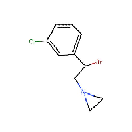 Clc1cccc(C(Br)CN2CC2)c1